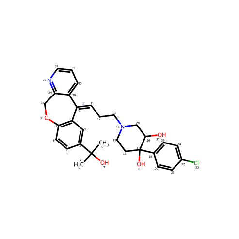 CC(C)(O)c1ccc2c(c1)/C(=C\CCN1CCC(O)(c3ccc(Cl)cc3)C(O)C1)c1cccnc1CO2